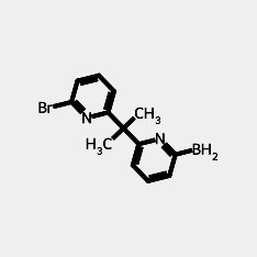 Bc1cccc(C(C)(C)c2cccc(Br)n2)n1